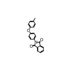 Cc1ccc(Oc2ccc(N3C(=O)c4ccccc4C3=O)cc2)cc1